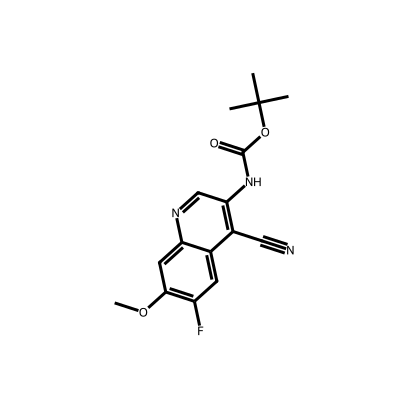 COc1cc2ncc(NC(=O)OC(C)(C)C)c(C#N)c2cc1F